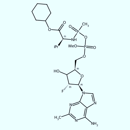 COP(=O)(OC[C@H]1O[C@@H](n2cnc3c(N)nc(C)nc32)[C@H](F)C1O)OP(C)(=O)N[C@H](C(=O)OC1CCCCC1)C(C)C